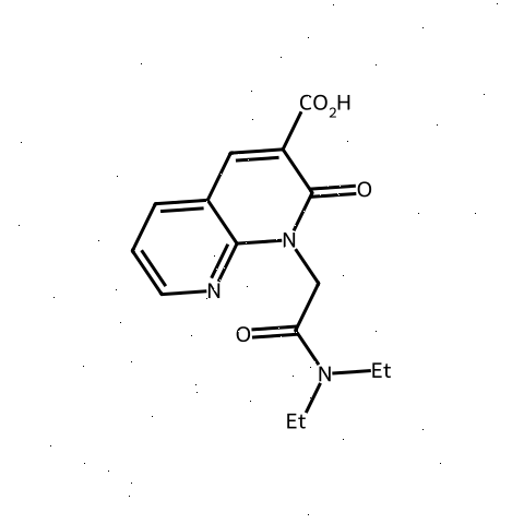 CCN(CC)C(=O)Cn1c(=O)c(C(=O)O)cc2cccnc21